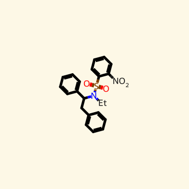 CCN(C(Cc1ccccc1)c1ccccc1)S(=O)(=O)c1ccccc1[N+](=O)[O-]